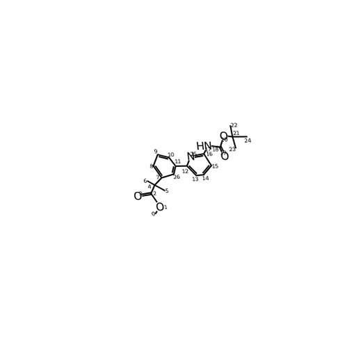 COC(=O)C(C)(C)c1cccc(-c2cccc(NC(=O)OC(C)(C)C)n2)c1